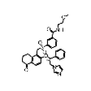 COCCNC(=O)c1cccc(S(=O)(=O)Cc2c(O[C@H](Cn3ccnc3)c3ccccc3)ccc3c2CCCC3=O)c1